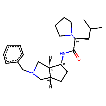 CC(C)C[C@@H](C(=O)N[C@@H]1CC[C@H]2CN(Cc3ccccc3)C[C@H]21)N1CCCC1